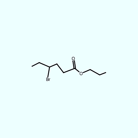 CCCOC(=O)CCC(Br)CC